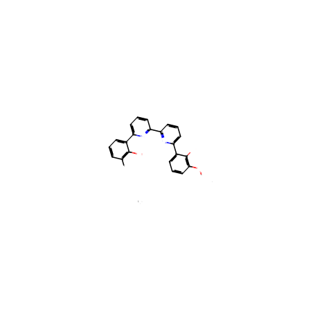 COc1cccc(-c2cccc(-c3cccc(-c4cccc(C)c4O)n3)n2)c1O.[Cl-].[Cl-].[Cl-].[Mn+3]